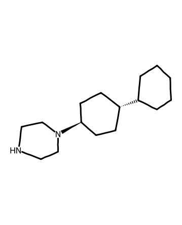 C1CCC([C@H]2CC[C@H](N3CCNCC3)CC2)CC1